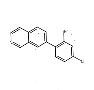 CC(C)c1cc(Cl)ccc1-c1ccc2ccncc2c1